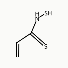 C=CC(=S)NS